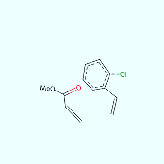 C=CC(=O)OC.C=Cc1ccccc1Cl